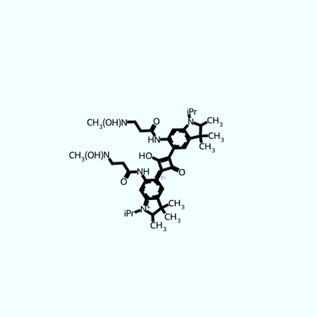 CC(C)N1c2cc(NC(=O)CCN(C)O)c(C3=C(O)/C(=c4/cc5c(cc4NC(=O)CCN(C)O)=[N+](C(C)C)C(C)C5(C)C)C3=O)cc2C(C)(C)C1C